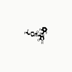 O=C1NCc2nc(-c3c(F)cccc3F)nc(NC(=O)N3CCN(CC(F)F)CC3)c21